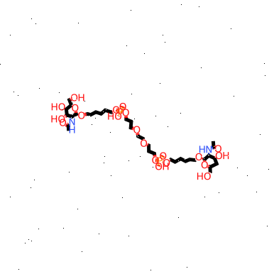 CC(=O)N[C@H]1C(O)CC(CO)O[C@H]1OCCCCCCOP(=O)(O)OCCCOCCOCCCOP(=O)(O)OCCCCCCO[C@@H]1OC(CO)[C@H](O)C(O)[C@@H]1NC(C)=O